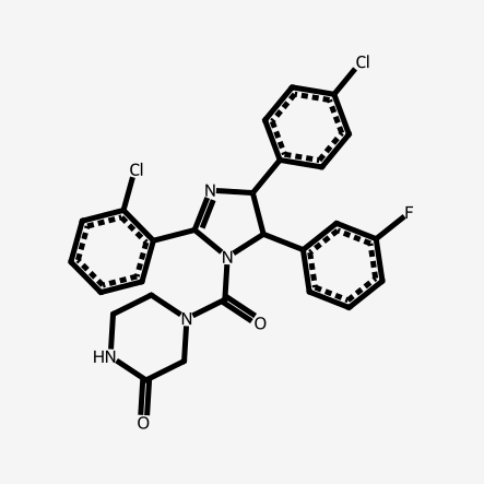 O=C1CN(C(=O)N2C(c3ccccc3Cl)=NC(c3ccc(Cl)cc3)C2c2cccc(F)c2)CCN1